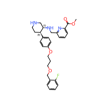 COC(=O)c1cccc(CN[C@@H]2CNCC[C@@H]2c2ccc(OCCCOCc3ccccc3F)cc2)n1